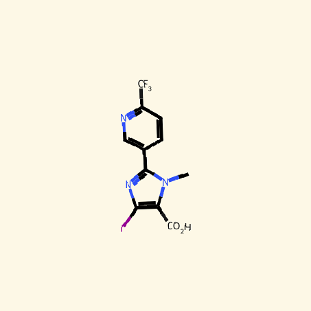 Cn1c(-c2ccc(C(F)(F)F)nc2)nc(I)c1C(=O)O